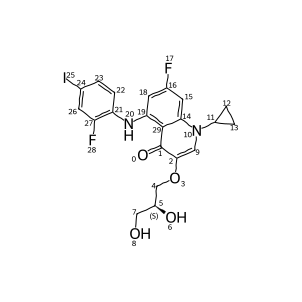 O=c1c(OC[C@@H](O)CO)cn(C2CC2)c2cc(F)cc(Nc3ccc(I)cc3F)c12